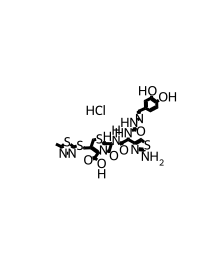 Cc1nnc(SCC2=C(C(=O)O)N3C(=O)C(NC(=O)C(NC(=O)N/N=C/c4ccc(O)c(O)c4)c4csc(N)n4)[C@H]3SC2)s1.Cl